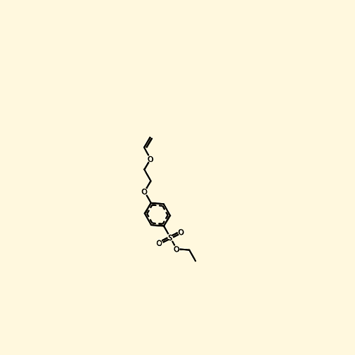 C=COCCOc1ccc(S(=O)(=O)OCC)cc1